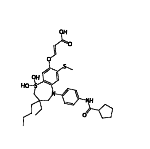 CCCCC1(CC)CN(c2ccc(NC(=O)C3CCCC3)cc2)c2cc(SC)c(OC=CC(=O)O)cc2S(O)(O)C1